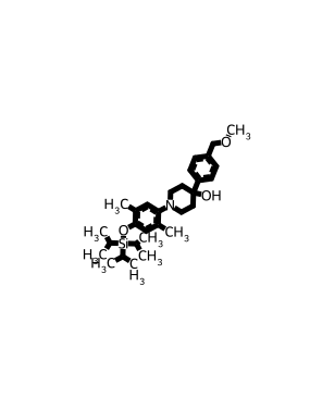 COCc1ccc(C2(O)CCN(c3cc(C)c(O[Si](C(C)C)(C(C)C)C(C)C)cc3C)CC2)cc1